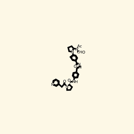 CC(=O)N(C=O)C1CCCN1c1ccc(-c2nnc(-c3ccc(NC(=O)[C@@H]4CCCN4C(=O)Cc4cccnc4)cc3)o2)cc1